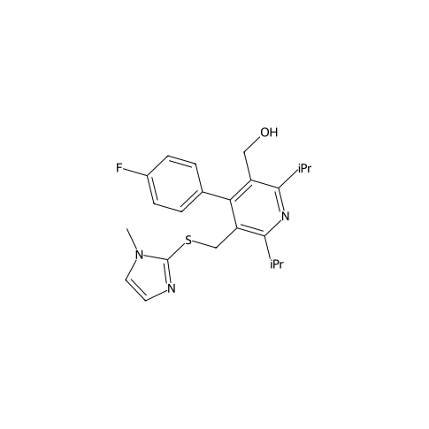 CC(C)c1nc(C(C)C)c(CSc2nccn2C)c(-c2ccc(F)cc2)c1CO